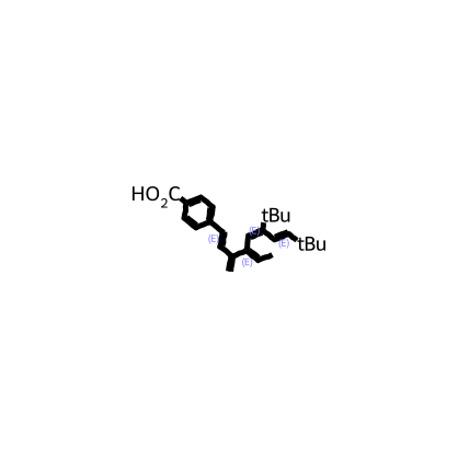 C=C(/C=C/c1ccc(C(=O)O)cc1)C(=C/C)/C=C(\C=C\C(C)(C)C)C(C)(C)C